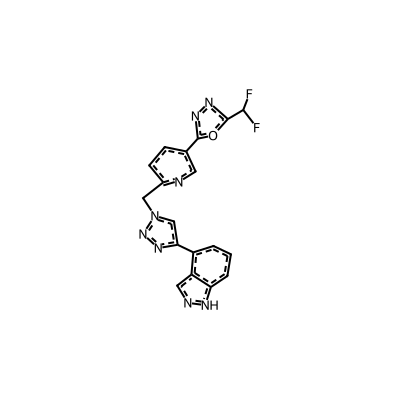 FC(F)c1nnc(-c2ccc(Cn3cc(-c4cccc5[nH]ncc45)nn3)nc2)o1